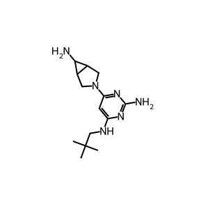 CC(C)(C)CNc1cc(N2CC3C(N)C3C2)nc(N)n1